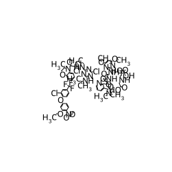 CC1COc2ccccc2N1C(=O)C(Cl)Cl.CCNc1nc(Cl)nc(NC(C)C)n1.CCOc1cc(Oc2ccc(C(F)(F)F)cc2Cl)ccc1[N+](=O)[O-].COc1cc(OC)nc(NC(=O)NS(=O)(=O)c2ncccc2C(=O)N(C)C)n1.O=C(O)CNCP(=O)(O)O